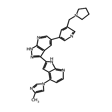 Cc1cn(-c2ccnc3[nH]c(-c4n[nH]c5ncc(-c6cncc(CN7CCCC7)c6)cc45)cc23)cn1